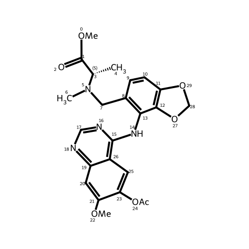 COC(=O)[C@H](C)N(C)Cc1ccc2c(c1Nc1ncnc3cc(OC)c(OC(C)=O)cc13)OCO2